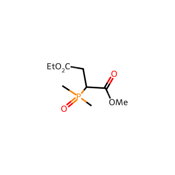 CCOC(=O)CC(C(=O)OC)P(C)(C)=O